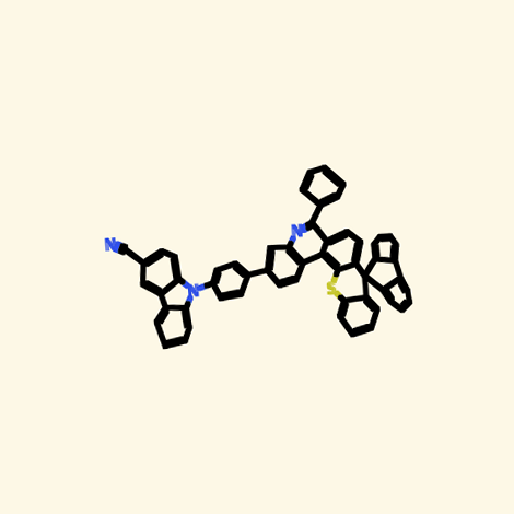 N#Cc1ccc2c(c1)c1ccccc1n2-c1ccc(-c2ccc3c(c2)nc(-c2ccccc2)c2ccc4c(c23)Sc2ccccc2C42c3ccccc3-c3ccccc32)cc1